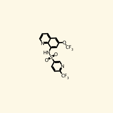 O=S(=O)(Nc1cc(OC(F)(F)F)cc2cccnc12)c1ccc(C(F)(F)F)nc1